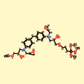 CCCCOCC(O)CN(CC1CO1)c1ccc(Cc2ccc(N(CC(O)COCCC[Si](OCC)(OCC)OCC)CC3CO3)cc2)cc1